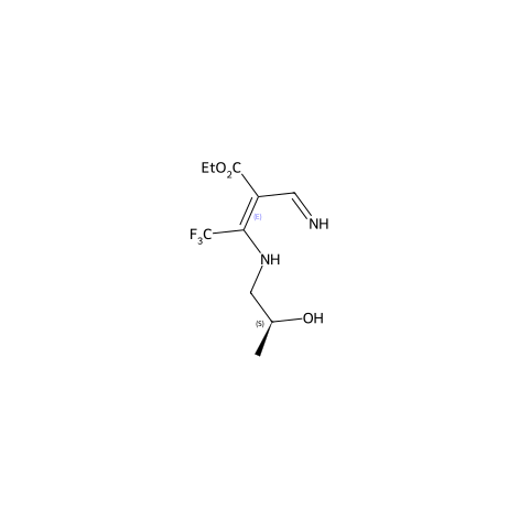 CCOC(=O)/C(C=N)=C(/NC[C@H](C)O)C(F)(F)F